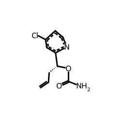 C=CC[C@@H](OC(N)=O)c1cc(Cl)ccn1